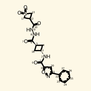 O=C(N[C@H]1C[C@H](C(=O)NNC(=O)C2CS(=O)(=O)C2)C1)c1cc(-c2ccccc2)no1